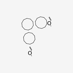 C1CCCCCCCCC1.C1CCCCCCCCC1.C1CCCCCCCCC1.C=COC.C=COC